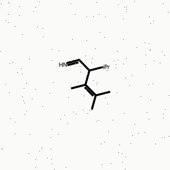 CC(C)=C(C)C(C=N)C(C)C